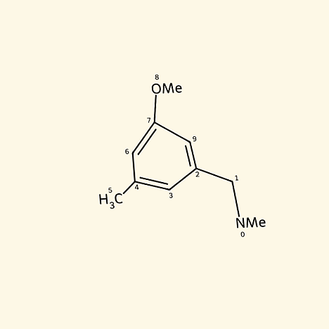 CNCc1cc(C)cc(OC)c1